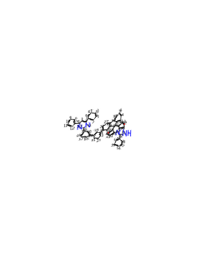 c1ccc(-c2cc(-c3ccccc3)nc(-c3cccc(-c4cccc(-c5ccc6c(c5)C5(c7ccccc7-6)c6ccccc6N6c7c(cccc75)NC6c5ccccc5)c4)c3)n2)cc1